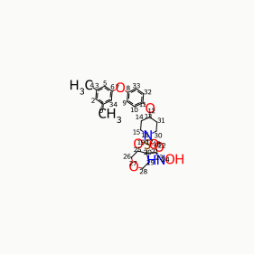 Cc1cc(C)cc(Oc2ccc(OC3CCN(S(=O)(=O)C4(C(=O)NO)CCOCC4)CC3)cc2)c1